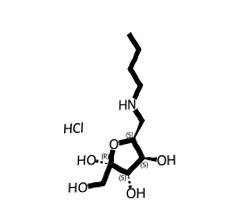 CCCCNC[C@@H]1O[C@](O)(CO)[C@@H](O)[C@@H]1O.Cl